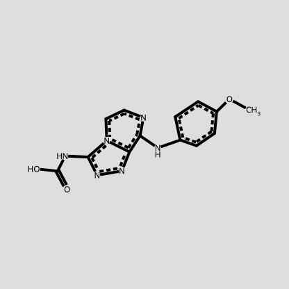 COc1ccc(Nc2nccn3c(NC(=O)O)nnc23)cc1